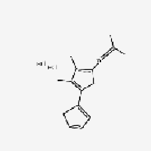 C[C](C)=[Zr][C]1=C(C)C(C)=C(C2=CC=CC2)C1.Cl.Cl